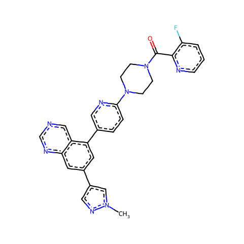 Cn1cc(-c2cc(-c3ccc(N4CCN(C(=O)c5ncccc5F)CC4)nc3)c3cncnc3c2)cn1